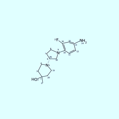 CC1(O)CCN([C@@H]2CCN(c3ccc(N)cc3F)C2)CC1